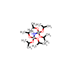 CC(C)O[Si](N[Si](OC(C)C)(OC(C)C)OC(C)C)(OC(C)C)OC(C)C